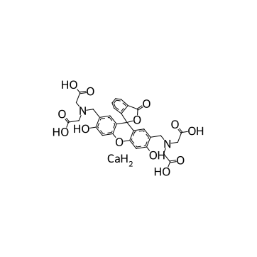 O=C(O)CN(CC(=O)O)Cc1cc2c(cc1O)Oc1cc(O)c(CN(CC(=O)O)CC(=O)O)cc1C21OC(=O)c2ccccc21.[CaH2]